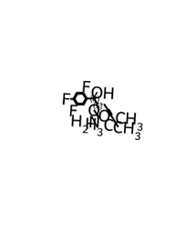 CC(C)(C)C#CC[C@H](OC(N)=O)[C@H](O)c1cc(F)c(F)cc1F